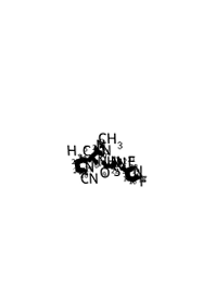 Cn1cc(C(C)(CNC(=O)c2nnc(-c3ccc(F)nc3F)s2)c2cccc(C#N)n2)cn1